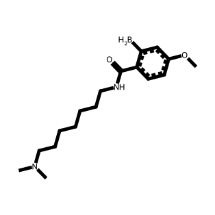 Bc1cc(OC)ccc1C(=O)NCCCCCCCN(C)C